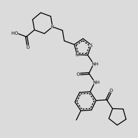 Cc1ccc(NC(=O)Nc2nc(CCN3CCCC(C(=O)O)C3)cs2)c(C(=O)C2CCCC2)c1